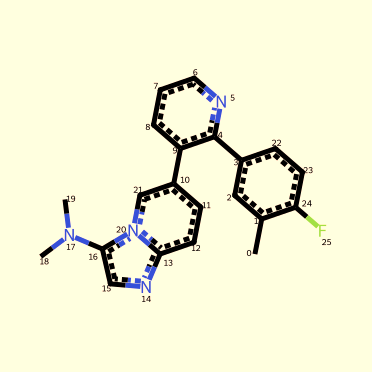 Cc1cc(-c2ncccc2-c2ccc3ncc(N(C)C)n3c2)ccc1F